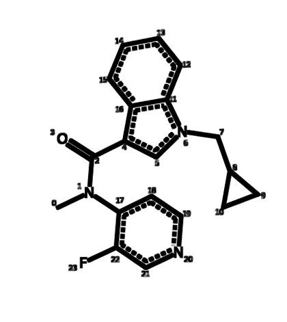 CN(C(=O)c1cn(CC2CC2)c2ccccc12)c1ccncc1F